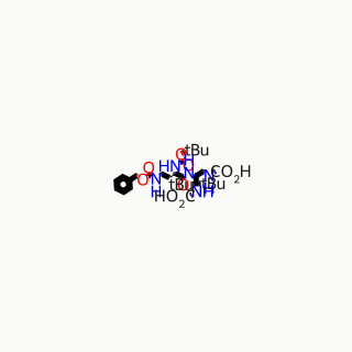 CC(C)(C)OC(=O)N[C@@H](CCNC(=O)OCc1ccccc1)C(=O)NC(CNC(=O)O)C(NC(=O)O)(C(C)(C)C)C(C)(C)C